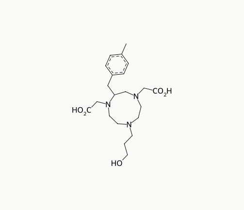 Cc1ccc(CC2CN(CC(=O)O)CCN(CCCO)CCN2CC(=O)O)cc1